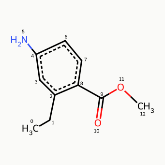 CCc1cc(N)ccc1C(=O)OC